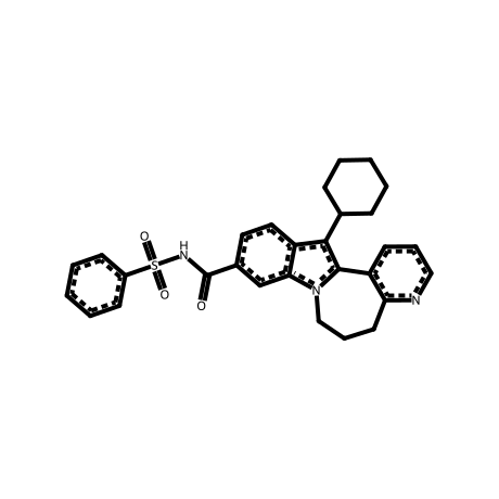 O=C(NS(=O)(=O)c1ccccc1)c1ccc2c(C3CCCCC3)c3n(c2c1)CCCc1ncccc1-3